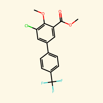 COC(=O)c1cc(-c2ccc(C(F)(F)F)cc2)cc(Cl)c1OC